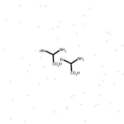 CCC(N)C(=O)O.CCCCC(N)C(=O)O